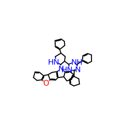 C1=CCCC(C2CNC(N3C4=CC=CCC4C4=C3CC3C(=C4)OC4=C3C=CCC4)C(C3NC(C4C=CCCC4)=NC(C4=CCCC=C4)N3)C2)=C1